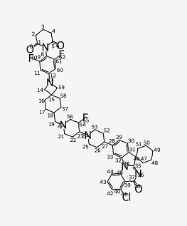 O=C1CCCC(=O)N1c1c(F)cc(N2CC3(CCC(CN4CCC(N5CCC(c6ccc7c(c6)-n6c(nc(=O)c8c(Cl)cccc86)C76CCCCC6)CC5)C(F)C4)CC3)C2)cc1F